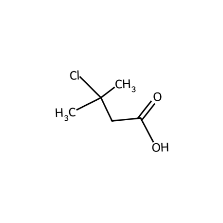 CC(C)(Cl)CC(=O)O